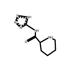 O=C(Nc1nnn[nH]1)C1CCCCN1